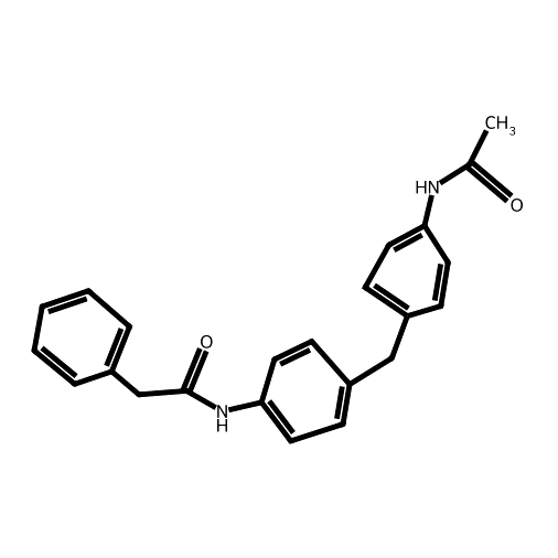 CC(=O)Nc1ccc(Cc2ccc(NC(=O)Cc3ccccc3)cc2)cc1